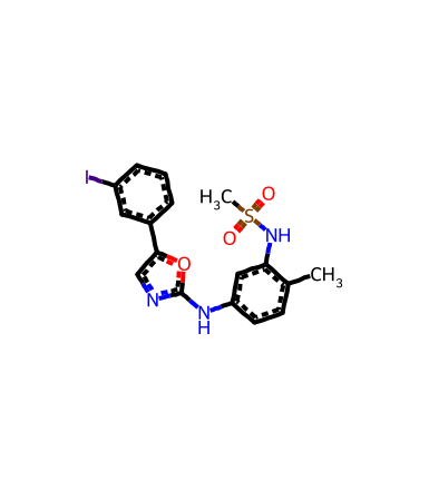 Cc1ccc(Nc2ncc(-c3cccc(I)c3)o2)cc1NS(C)(=O)=O